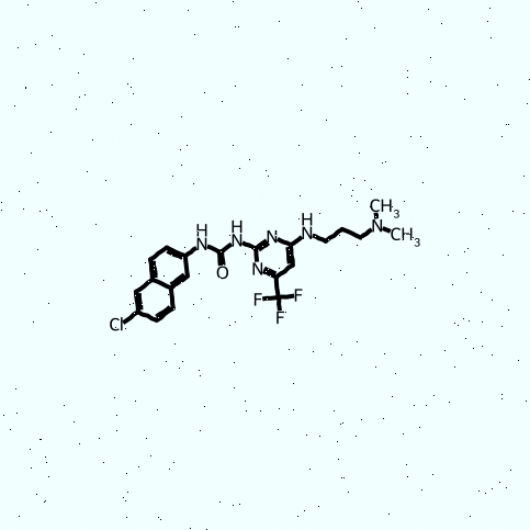 CN(C)CCCNc1cc(C(F)(F)F)nc(NC(=O)Nc2ccc3cc(Cl)ccc3c2)n1